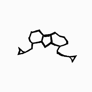 C1CC2=C3CCCC(CC4CC4)C3CC2C(CC2CC2)C1